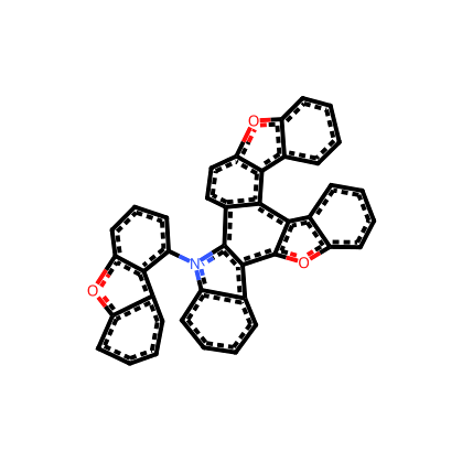 c1ccc2c(c1)oc1cccc(-n3c4ccccc4c4c5oc6ccccc6c5c5c(ccc6oc7ccccc7c65)c43)c12